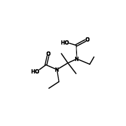 CCN(C(=O)O)C(C)(C)N(CC)C(=O)O